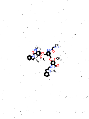 CNCC(=O)Nc1cc(COc2cc(NCC3Cc4ccccc4N3C)c(C=O)cc2OC)cc(COc2cc(NC)c(C(=O)N3c4ccccc4C[C@H]3C)cc2OC)c1